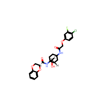 O=C(COc1ccc(Cl)c(F)c1)NC12CCC(NC(=O)[C@H]3COc4ccccc4O3)(CC1)[C@@H](O)C2